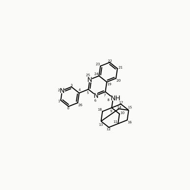 c1cncc(-c2nc(NC34CC5CC(CC(C5)C3)C4)c3ccccc3n2)c1